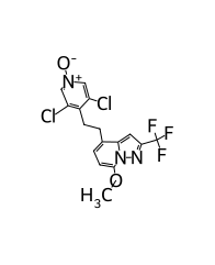 COc1ccc(CCc2c(Cl)c[n+]([O-])cc2Cl)c2cc(C(F)(F)F)nn12